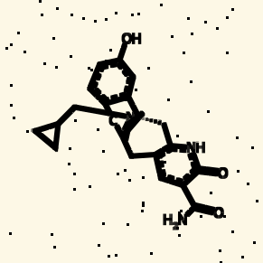 NC(=O)c1cc2c([nH]c1=O)C[C@]13CCN(CC4CC4)C[C@]1(Cc1ccc(O)cc13)C2